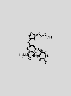 NC(=O)c1nc(Cc2cnn(CCCO)c2)ccc1Nc1cc(Cl)ncc1C(F)(F)F